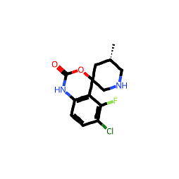 C[C@@H]1CNCC2(C1)OC(=O)Nc1ccc(Cl)c(F)c12